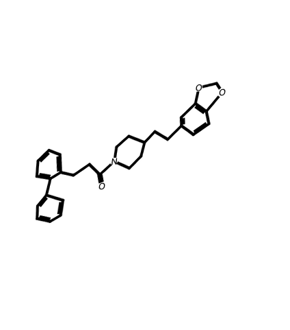 O=C(CCc1ccccc1-c1ccccc1)N1CCC(CCc2ccc3c(c2)OCO3)CC1